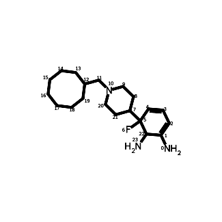 NC1=CC=CC(F)(C2CCN(CC3CCCCCCC3)CC2)C1N